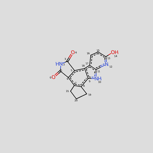 O=C1NC(=O)c2c1c1c(c3[nH]c4nc(O)ccc4c23)CCC1